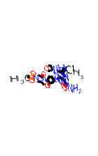 CCc1nc(C(N)=O)c(Nc2ccc3c(c2)OCC2CN(S(=O)(=O)CC)CC(=O)N32)nc1NC1CCOCC1